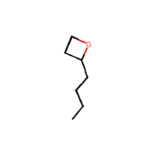 CC[CH]CC1CCO1